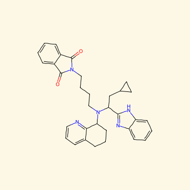 O=C1c2ccccc2C(=O)N1CCCCN(C(CC1CC1)c1nc2ccccc2[nH]1)C1CCCc2cccnc21